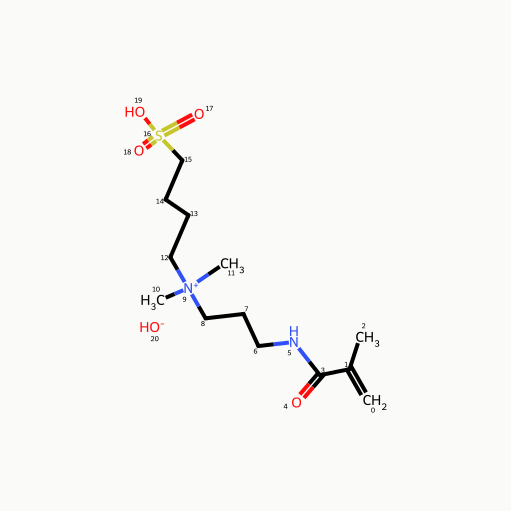 C=C(C)C(=O)NCCC[N+](C)(C)CCCCS(=O)(=O)O.[OH-]